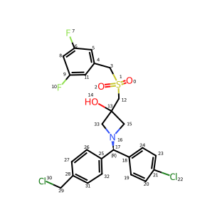 O=S(=O)(Cc1cc(F)cc(F)c1)CC1(O)CN([C@@H](c2ccc(Cl)cc2)c2ccc(CCl)cc2)C1